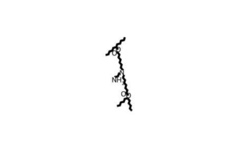 CCCCCC(CCCCC)OC(=O)CCCCCCCN(CCCN)CCCCCCCC(=O)OC(CCCCC)CCCCC